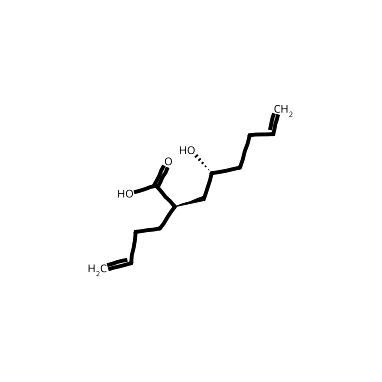 C=CCC[C@@H](O)C[C@@H](CCC=C)C(=O)O